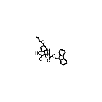 C=CCOc1ccc(C(C)(NC(=O)OCC2c3ccccc3-c3ccccc32)C(=O)O)cc1